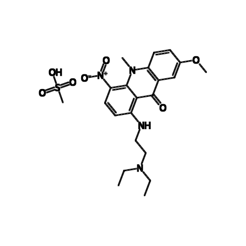 CCN(CC)CCNc1ccc([N+](=O)[O-])c2c1c(=O)c1cc(OC)ccc1n2C.CS(=O)(=O)O